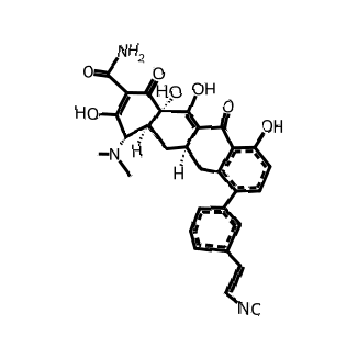 [C-]#[N+]/C=C/c1cccc(-c2ccc(O)c3c2C[C@H]2C[C@H]4[C@H](N(C)C)C(O)=C(C(N)=O)C(=O)[C@@]4(O)C(O)=C2C3=O)c1